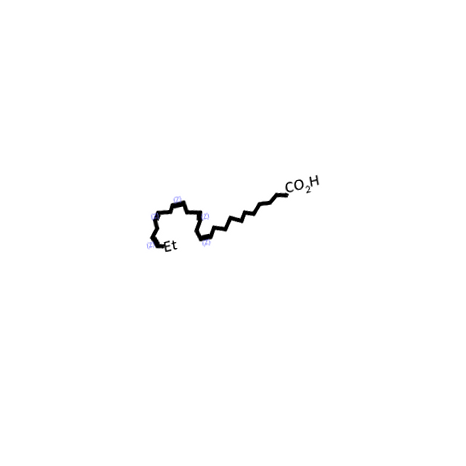 CC/C=C\C/C=C\C/C=C\C/C=C\C/C=C\CCCCCCCCCCC(=O)O